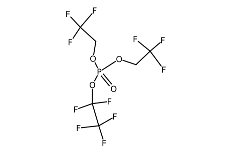 O=P(OCC(F)(F)F)(OCC(F)(F)F)OC(F)(F)C(F)(F)F